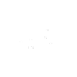 O=C(Nc1ccc2oc(-c3ccccc3Br)nc2c1)c1ccco1